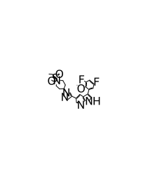 CCS(=O)(=O)N1CCC(n2cc(-c3cnc4[nH]cc(-c5cc(F)cc(F)c5OC)c4c3)cn2)CC1